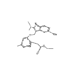 CCOC(=O)Cc1ccc(C)cc1OCc1c2cc(Br)ccc2nn1C(C)C